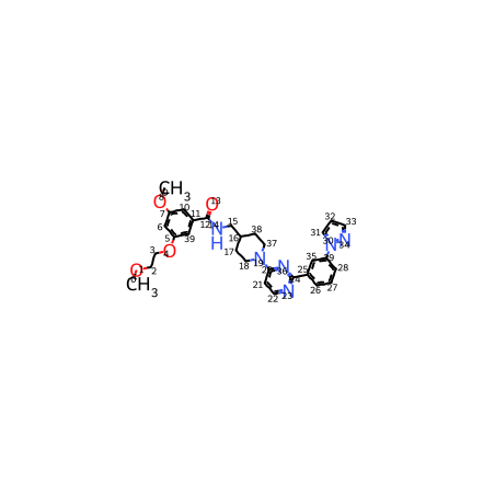 COCCOc1cc(OC)cc(C(=O)NCC2CCN(c3ccnc(-c4cccc(-n5cccn5)c4)n3)CC2)c1